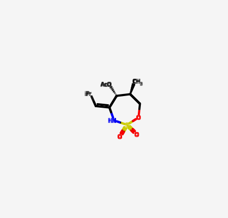 CC(=O)O[C@H]1/C(=C\C(C)C)NS(=O)(=O)OC[C@@H]1C